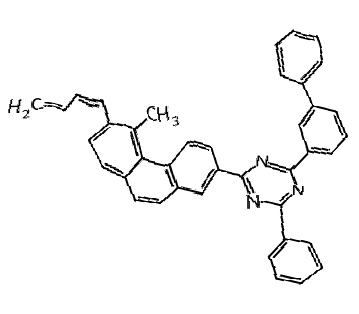 C=C/C=C\c1ccc2ccc3cc(-c4nc(-c5ccccc5)nc(-c5cccc(-c6ccccc6)c5)n4)ccc3c2c1C